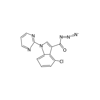 [N-]=[N+]=NC(=O)c1cn(-c2ncccn2)c2cccc(Cl)c12